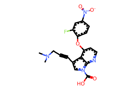 CN(C)CC#Cc1cn(C(=O)O)c2nccc(Oc3ccc([N+](=O)[O-])cc3F)c12